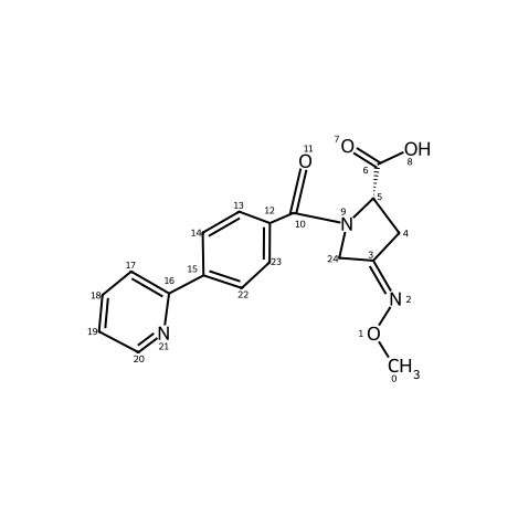 CON=C1C[C@@H](C(=O)O)N(C(=O)c2ccc(-c3ccccn3)cc2)C1